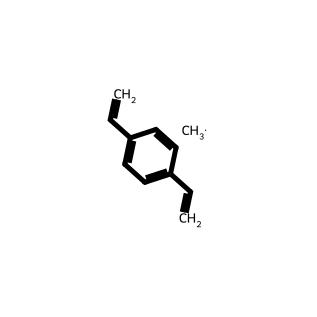 C=Cc1ccc(C=C)cc1.[CH3]